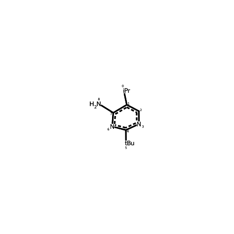 CC(C)c1cnc(C(C)(C)C)nc1N